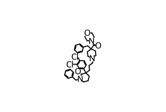 O=C(N1CCOCC1)C1(Cc2ccccc2)CCN(CCCC2(c3ccc(Cl)c(Cl)c3)CCCN(Cc3ccccc3)C2=O)CC1